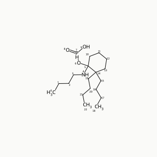 CCCCNC1(O[PH](=O)O)CCCCC1(CCCC)CCCC